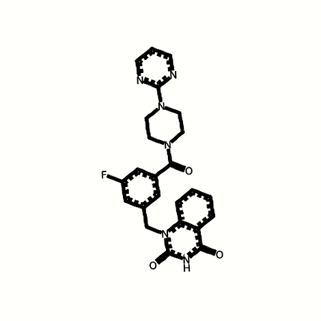 O=C(c1cc(F)cc(Cn2c(=O)[nH]c(=O)c3ccccc32)c1)N1CCN(c2ncccn2)CC1